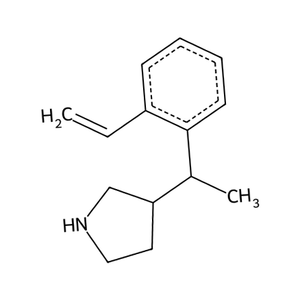 C=Cc1ccccc1C(C)C1CCNC1